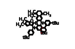 CC1=Cc2c(oc3c2N(c2ccc(C(C)(C)C)cc2)c2cc(C(C)(C)C)cc4c2B3c2cc3c(cc2N4c2ccc(C(C)(C)C)cc2C2=CC=CCC2)[C@@H](C)CCC3(C)C)[C@H]1C